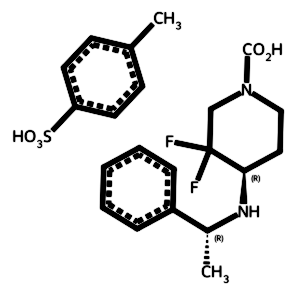 C[C@@H](N[C@@H]1CCN(C(=O)O)CC1(F)F)c1ccccc1.Cc1ccc(S(=O)(=O)O)cc1